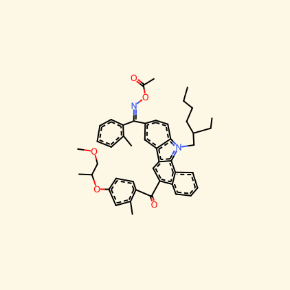 CCCCC(CC)Cn1c2ccc(/C(=N\OC(C)=O)c3ccccc3C)cc2c2cc(C(=O)c3ccc(OC(C)COC)cc3C)c3ccccc3c21